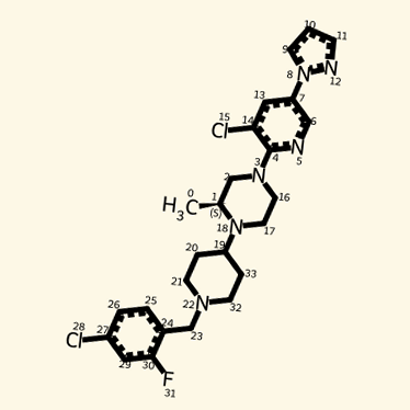 C[C@H]1CN(c2ncc(-n3cccn3)cc2Cl)CCN1C1CCN(Cc2ccc(Cl)cc2F)CC1